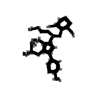 CCOC=CN(Cc1c(F)cccc1F)c1sc(-c2ccc([N+](=O)[O-])cc2)c(CN(C)C)c1C(=O)O